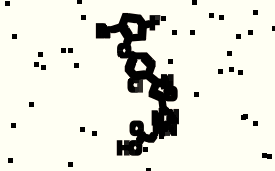 O=C(O)Cn1nnc(-c2cc(-c3ccc(Oc4cc(F)ccc4Br)cc3Cl)no2)n1